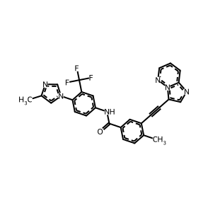 Cc1cn(-c2ccc(NC(=O)c3ccc(C)c(C#Cc4cnc5cccnn45)c3)cc2C(F)(F)F)cn1